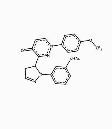 CC(=O)Nc1cccc(N2N=CCC2c2nn(-c3ccc(OC(F)(F)F)cc3)ccc2=O)c1